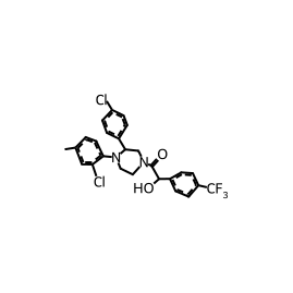 Cc1ccc(N2CCN(C(=O)C(O)c3ccc(C(F)(F)F)cc3)CC2c2ccc(Cl)cc2)c(Cl)c1